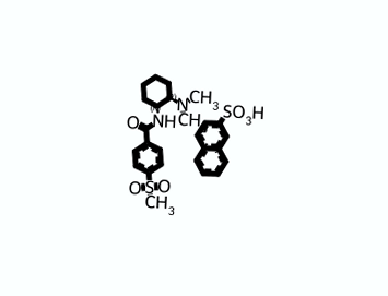 CN(C)[C@@H]1CCCC[C@H]1NC(=O)c1ccc(S(C)(=O)=O)cc1.O=S(=O)(O)c1ccc2ccccc2c1